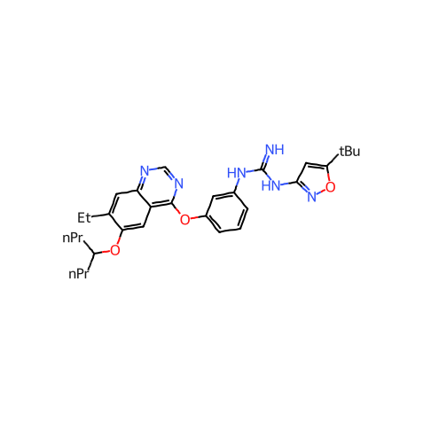 CCCC(CCC)Oc1cc2c(Oc3cccc(NC(=N)Nc4cc(C(C)(C)C)on4)c3)ncnc2cc1CC